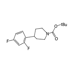 CC(C)(C)OC(=O)N1CCC(c2ccc(F)cc2F)CC1